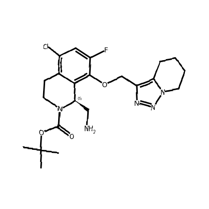 CC(C)(C)OC(=O)N1CCc2c(Cl)cc(F)c(OCc3nnn4c3CCCC4)c2[C@H]1CN